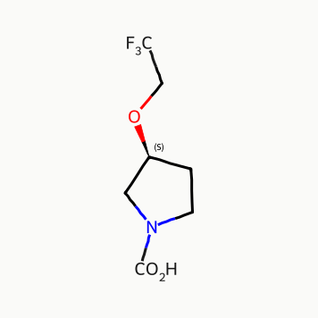 O=C(O)N1CC[C@H](OCC(F)(F)F)C1